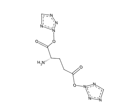 N[C@@H](CCC(=O)On1ncnn1)C(=O)On1ncnn1